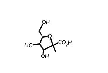 C[C@@]1(C(=O)O)O[C@H](CO)C(O)C1O